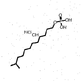 CC(C)CCCCCCCCCCOP(=O)(O)O.Cl.Cl